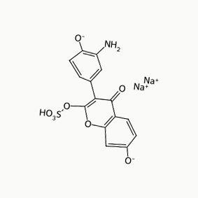 Nc1cc(-c2c(OS(=O)(=O)O)oc3cc([O-])ccc3c2=O)ccc1[O-].[Na+].[Na+]